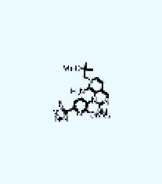 COc1nc(-c2nnnn2C)ccc1N1C(N)=NC=C2C=CN(CC(C)(C)OC)C(N)=C21